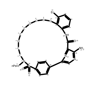 CCCCCN1CCOCCOCCOc2c(CC)cccc2NC(=O)c2nc(cnc2N)-c2ccc(cc2)S1(=O)=O